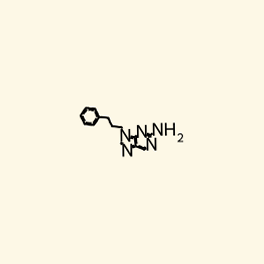 Nc1ncc2ncn(CCCc3ccccc3)c2n1